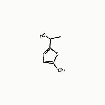 CC(S)c1ccc(C(C)(C)C)s1